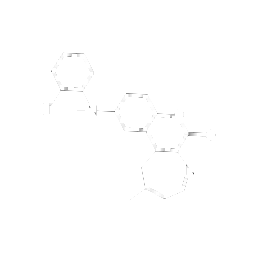 CC1=CC=Nc2c(c3cc(Nc4ccccc4Cl)ccc3oc2=O)C1